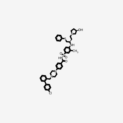 Cc1cc(S(=O)(=O)NC(=O)c2ccc(N3CCN(Cc4ccccc4-c4ccc(Cl)cc4)CC3)cc2)ccc1N[C@H](CCN1CC[C@@H](O)C1)CSc1ccccc1